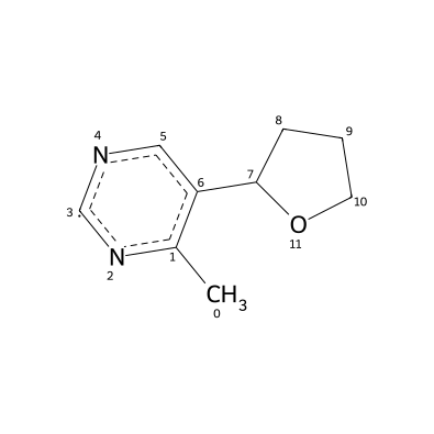 Cc1n[c]ncc1C1CCCO1